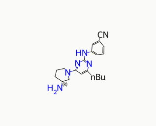 CCCCc1cc(N2CCC[C@@H](N)C2)nc(Nc2cccc(C#N)c2)n1